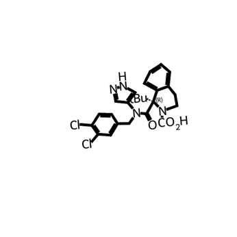 CC(C)(C)[C@]1(C(=O)N(Cc2ccc(Cl)c(Cl)c2)c2cn[nH]c2)c2ccccc2CCN1C(=O)O